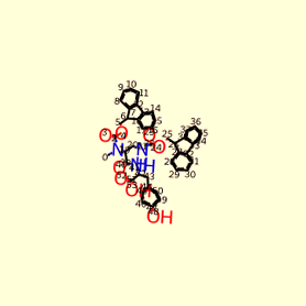 CN(C(=O)OCC1c2ccccc2-c2ccccc21)C(CNC(=O)OCC1c2ccccc2-c2ccccc21)C(=O)NC(Cc1ccc(O)cc1)C(=O)O